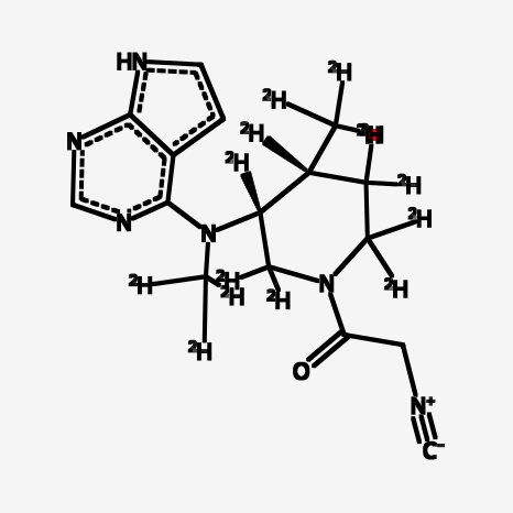 [2H]C([2H])([2H])N(c1ncnc2[nH]ccc12)[C@@]1([2H])C([2H])([2H])N(C(=O)C[N+]#[C-])C([2H])([2H])C([2H])([2H])[C@@]1([2H])C([2H])([2H])[2H]